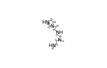 CNCCN(C)CCNCCN1CCNCC1